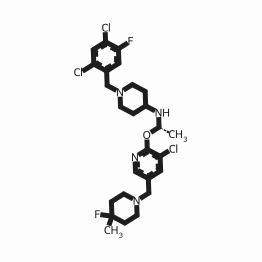 C[C@@H](NC1CCN(Cc2cc(F)c(Cl)cc2Cl)CC1)Oc1ncc(CN2CCC(C)(F)CC2)cc1Cl